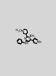 CN1CCCC(C2=NC(Nc3ccccc3)=CC(C3=CCNC=C3)N2C)C1